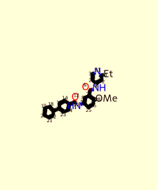 CCc1cc(NC(=O)c2cc(NC(=O)c3ccc(-c4ccccc4)cc3)ccc2OC)ccn1